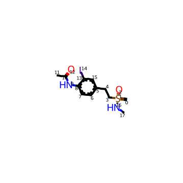 C=S(=O)(CCc1ccc(NC(C)=O)c(I)c1)NC